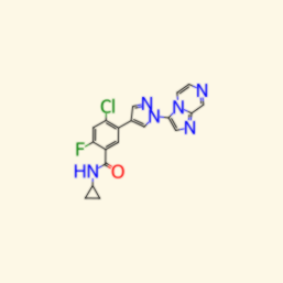 O=C(NC1CC1)c1cc(-c2cnn(-c3cnc4cnccn34)c2)c(Cl)cc1F